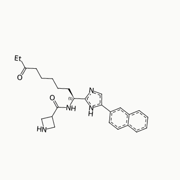 CCC(=O)CCCCC[C@H](NC(=O)C1CNC1)c1ncc(-c2ccc3ccccc3c2)[nH]1